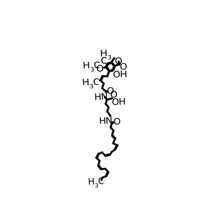 CC/C=C\C/C=C\C/C=C\C/C=C\C/C=C\CC=CCCC(=O)NCCCCC(NC(=O)CC/C(C)=C\Cc1c(O)c2c(c(C)c1OC)COC2=O)C(=O)O